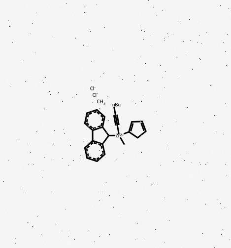 C.CCCCC#[C][Zr+2]([CH3])([C]1=CC=CC1)[CH]1c2ccccc2-c2ccccc21.[Cl-].[Cl-]